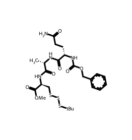 COC(=O)[C@H](CSSSC(C)(C)C)NC(=O)[C@H](C)NC(=O)[C@H](CCC(N)=O)NC(=O)OCc1ccccc1